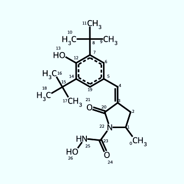 CC1CC(=Cc2cc(C(C)(C)C)c(O)c(C(C)(C)C)c2)C(=O)N1C(=O)NO